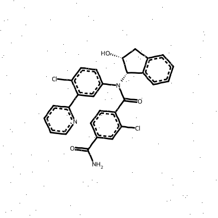 NC(=O)c1ccc(C(=O)N(c2ccc(Cl)c(-c3ccccn3)c2)[C@H]2c3ccccc3C[C@H]2O)c(Cl)c1